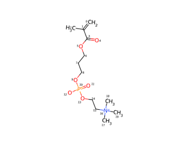 C=C(C)C(=O)OCCCOP(=O)([O-])OCC[N+](C)(C)C